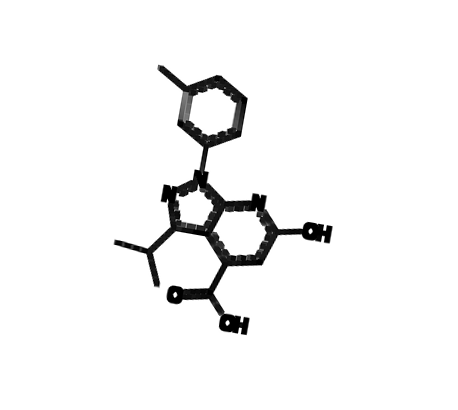 Cc1cccc(-n2nc(C(C)C)c3c(C(=O)O)cc(O)nc32)c1